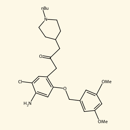 CCCCN1CCC(CC(=O)Cc2cc(Cl)c(N)cc2OCc2cc(OC)cc(OC)c2)CC1